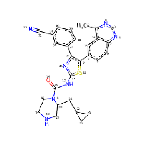 Cc1ncnc2ccc(-c3sc(NC(=O)N4CCNCC4CC4CC4)nc3-c3cccc(C#N)c3)cc12